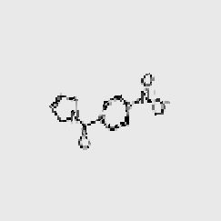 O=C(c1ccc([N+](=O)[O-])cc1)N1CC=CC1